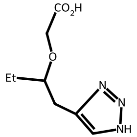 CCC(Cc1c[nH]nn1)OCC(=O)O